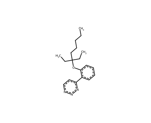 CCCCCC(CC)(CC)Oc1ccccc1-c1ccnnn1